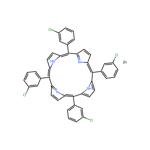 Clc1cccc(-c2c3nc(c(-c4cccc(Cl)c4)c4ccc([nH]4)c(-c4cccc(Cl)c4)c4nc(c(-c5cccc(Cl)c5)c5ccc2[nH]5)C=C4)C=C3)c1.[Zn]